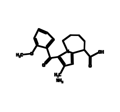 COc1ccccc1C(=O)c1c(C)cc2n1CCCCC2C(=O)O.N